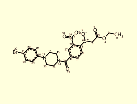 CCOC(=O)C[S+]([O-])c1ccc(C(=O)N2CCN(c3ccc(Br)cc3)CC2)cc1[N+](=O)[O-]